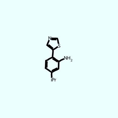 CC(C)c1ccc(-c2cncs2)c(N)c1